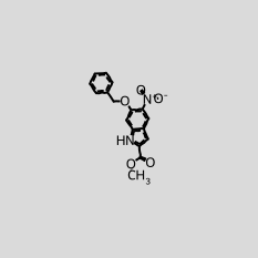 COC(=O)c1cc2cc([N+](=O)[O-])c(OCc3ccccc3)cc2[nH]1